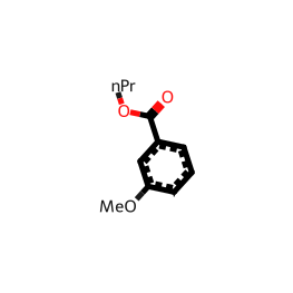 CCCOC(=O)c1cc[c]c(OC)c1